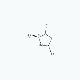 CCC1CC(F)[C@H](C)N1